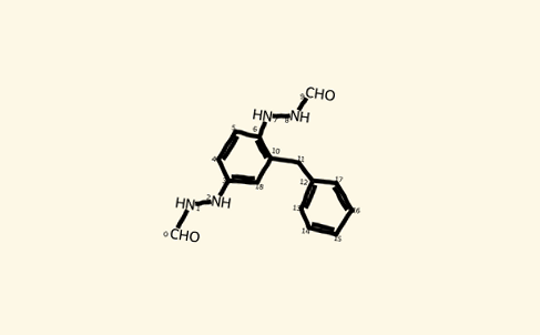 O=CNNc1ccc(NNC=O)c(Cc2ccccc2)c1